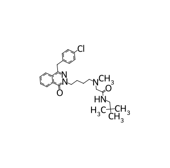 CN(CCCCn1nc(Cc2ccc(Cl)cc2)c2ccccc2c1=O)CC(=O)NCC(C)(C)C